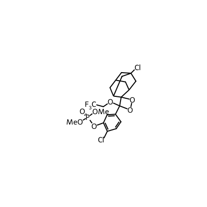 COP(=O)(OC)Oc1cc(C2(OCC(F)(F)F)OOC23C2CC4CC3CC(Cl)(C4)C2)ccc1Cl